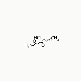 COCCOC(=O)CCC(=O)CN.Cl